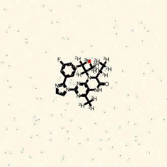 [2H]C([2H])([2H])c1nc(-n2ccnc2-c2cccc(F)c2)nc2c1NC(=O)C(C([2H])([2H])C([2H])([2H])[2H])N2C([2H])(C([2H])([2H])[2H])C([2H])([2H])[2H]